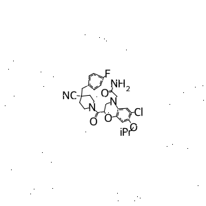 CC(C)Oc1cc2c(cc1Cl)N(CC(N)=O)CC(C(=O)N1CCC(C#N)(Cc3ccc(F)cc3)CC1)O2